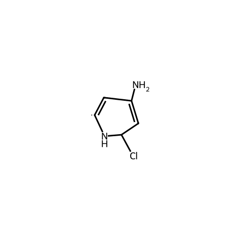 NC1=CC(Cl)N[C]=C1